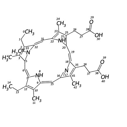 CCC1=C(C)C2C=c3[nH]c(c(C)c3CC)=CC3=NC(=Cc4[nH]c(c(C)c4CCC(=O)O)C=C1N2C)C(CCC(=O)O)=C3C